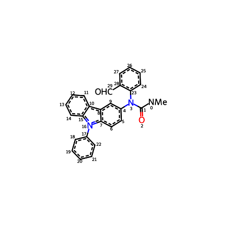 CNC(=O)N(c1ccc2c(c1)c1ccccc1n2-c1ccccc1)c1ccccc1C=O